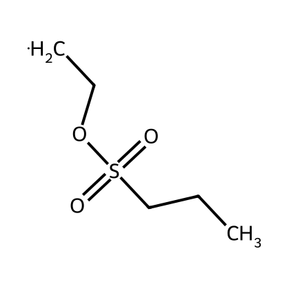 [CH2]COS(=O)(=O)CCC